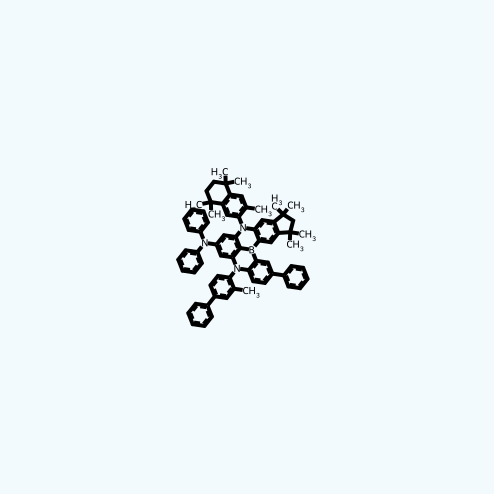 Cc1cc(-c2ccccc2)ccc1N1c2ccc(-c3ccccc3)cc2B2c3cc4c(cc3N(c3cc5c(cc3C)C(C)(C)CCC5(C)C)c3cc(N(c5ccccc5)c5ccccc5)cc1c32)C(C)(C)CC4(C)C